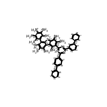 Bc1c(B)c(B)c(-c2c(B)c(B)c(B)c3c2sc2c(B)c(B)c(-c4nc(-c5ccc(-c6ccccc6)cc5)nc(-c5cccc(-c6ccccc6)c5)n4)c(B)c23)c(B)c1B